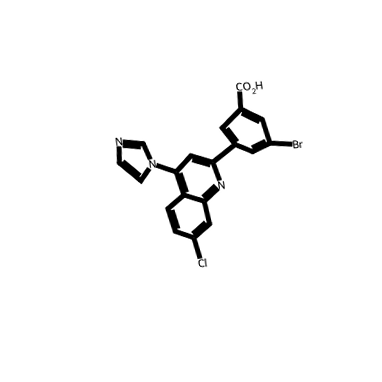 O=C(O)c1cc(Br)cc(-c2cc(-n3ccnc3)c3ccc(Cl)cc3n2)c1